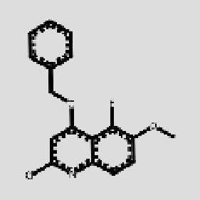 COc1ccc2nc(Cl)cc(OCc3ccccc3)c2c1F